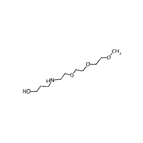 COCCOCCOCCNCCCO